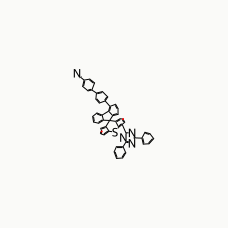 N#Cc1ccc(-c2ccc(-c3cccc4c3-c3ccccc3C43c4ccccc4Sc4c(-c5nc(-c6ccccc6)nc(-c6ccccc6)n5)cccc43)cc2)cc1